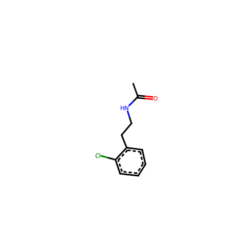 CC(=O)NCCc1ccccc1Cl